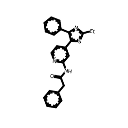 CCc1nc(-c2ccccc2)c(-c2ccnc(NC(=O)Cc3ccccc3)c2)s1